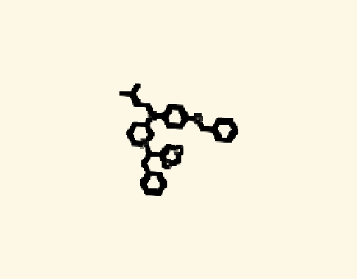 CC(C)=CCN(c1ccc(OCc2ccccc2)cc1)C1CCCN(C(Cc2ccccc2)C2=COCO2)C1